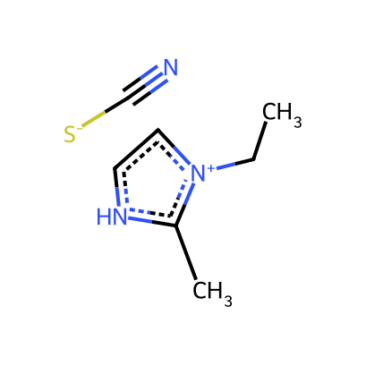 CC[n+]1cc[nH]c1C.N#C[S-]